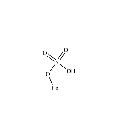 O=S(=O)(O)[O][Fe]